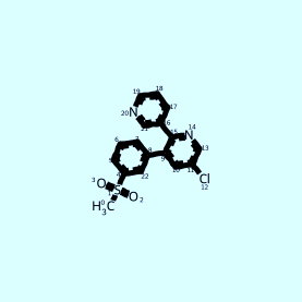 CS(=O)(=O)c1cccc(-c2cc(Cl)cnc2-c2cccnc2)c1